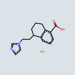 Cl.O=C(O)c1cccc2c1CCCC2CCn1ccnc1